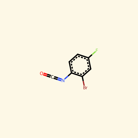 O=C=Nc1ccc(F)cc1Br